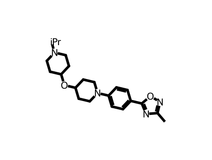 Cc1noc(-c2ccc(N3CCC(OC4CCN(C(C)C)CC4)CC3)cc2)n1